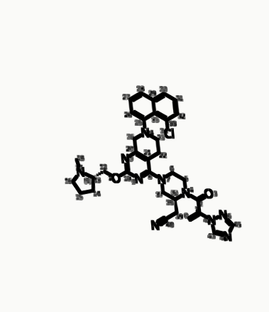 C=C(C(=O)N1CCN(c2nc(OC[C@@H]3CCCN3C)nc3c2CCN(c2cccc4cccc(Cl)c24)C3)C[C@@H]1CC#N)n1cncn1